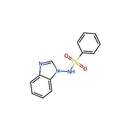 O=S(=O)(Nn1cnc2ccccc21)c1ccccc1